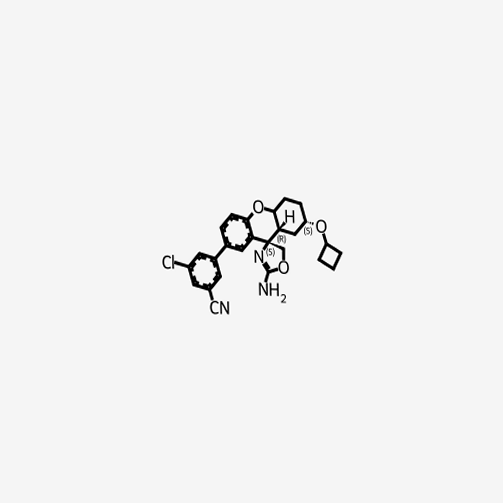 N#Cc1cc(Cl)cc(-c2ccc3c(c2)[C@]2(COC(N)=N2)[C@H]2C[C@@H](OC4CCC4)CCC2O3)c1